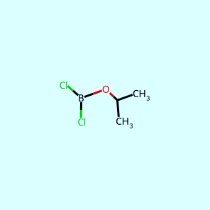 CC(C)OB(Cl)Cl